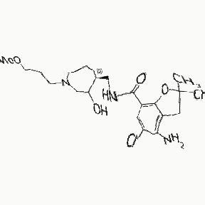 COCCCN1CC[C@@H](CNC(=O)c2cc(Cl)c(N)c3c2OC(C)(C)C3)C(O)C1